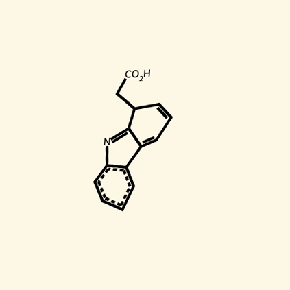 O=C(O)CC1C=CC=C2C1=Nc1ccccc12